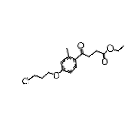 CCOC(=O)CCC(=O)c1ccc(OCCCCl)cc1C